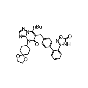 CCCCc1c(Cc2ccc(-c3ccccc3-c3noc(=O)[nH]3)cc2)c(=O)n(C2CCC3(CC2)OCCO3)c2ncnn12